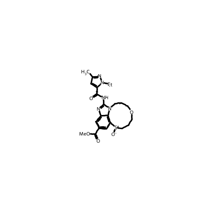 CCn1nc(C)cc1C(=O)Nc1nc2cc(C(=O)OC)cc3c2n1CCCOCCC[S+]3[O-]